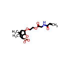 C=CC(=O)NCC(=O)OCCOC1C2OS(=O)(=O)C3CC1C(C)(C)C23